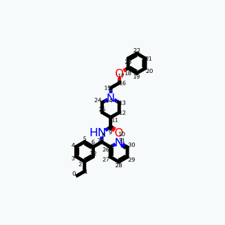 CCc1cccc(C(NC(=O)C2CCN(CCOc3ccccc3)CC2)c2ccccn2)c1